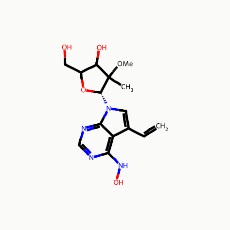 C=Cc1cn([C@@H]2OC(CO)C(O)C2(C)OC)c2ncnc(NO)c12